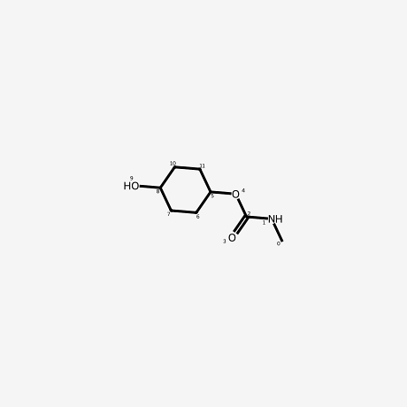 CNC(=O)OC1CCC(O)CC1